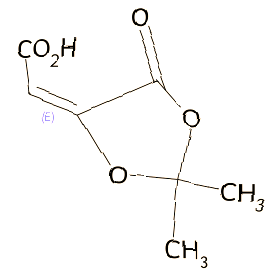 CC1(C)OC(=O)/C(=C\C(=O)O)O1